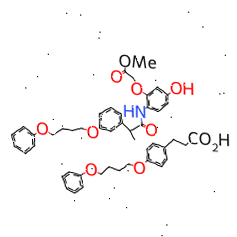 COC(=O)COc1cc(O)ccc1NC(=O)C(C)c1cccc(OCCCCOc2ccccc2)c1.O=C(O)CCc1ccc(OCCCCOc2ccccc2)cc1